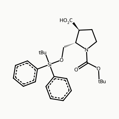 CC(C)(C)OC(=O)N1CC[C@H](C(=O)O)[C@H]1CO[Si](c1ccccc1)(c1ccccc1)C(C)(C)C